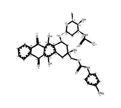 COc1ccc(NC(=O)OC[C@]2(O)Cc3c(O)c4c(c(O)c3[C@@H](O[C@H]3C[C@H](NC(=O)C(F)(F)F)[C@H](O)[C@H](C)O3)C2)C(=O)c2ccccc2C4=O)cc1